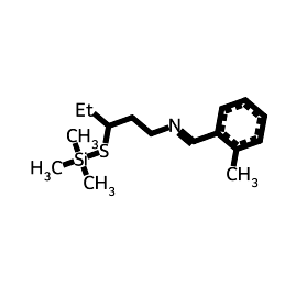 CCC(CCN=Cc1ccccc1C)S[Si](C)(C)C